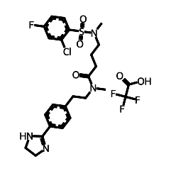 CN(CCc1ccc(C2=NCCN2)cc1)C(=O)CCCN(C)S(=O)(=O)c1ccc(F)cc1Cl.O=C(O)C(F)(F)F